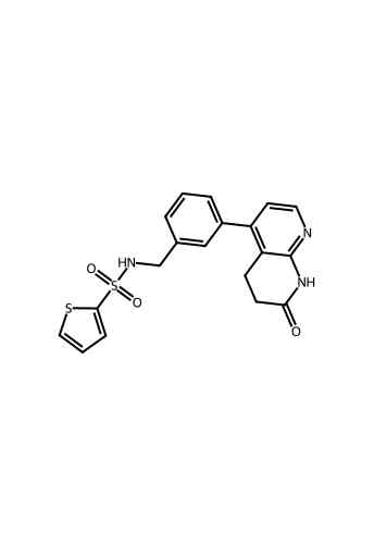 O=C1CCc2c(-c3cccc(CNS(=O)(=O)c4cccs4)c3)ccnc2N1